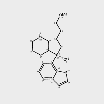 COCCCC[C@@](O)(c1cccc2ccsc12)C1CCCNC1